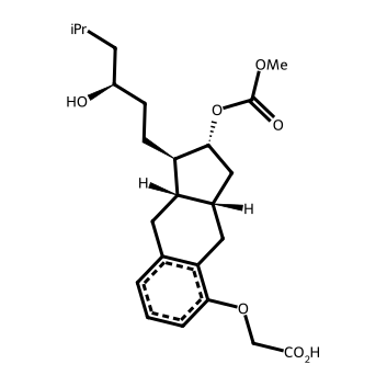 COC(=O)O[C@@H]1C[C@@H]2Cc3c(cccc3OCC(=O)O)C[C@@H]2[C@H]1CC[C@@H](O)CC(C)C